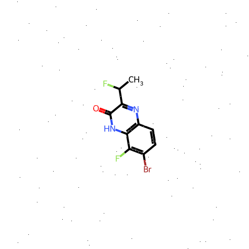 CC(F)c1nc2ccc(Br)c(F)c2[nH]c1=O